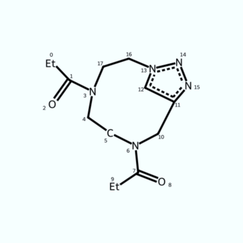 CCC(=O)N1CCN(C(=O)CC)Cc2cn(nn2)CC1